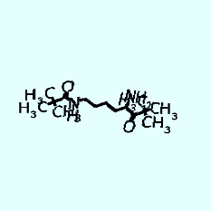 CC(C)(C)C(=O)NCCCCC(N)C(=O)C(C)(C)C